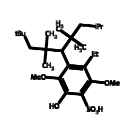 CCc1c(OC)c(S(=O)(=O)O)c(O)c(OC)c1C(C(C)(C)CC(C)C)C(C)(C)CC(C)(C)C